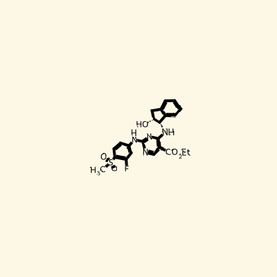 CCOC(=O)c1cnc(Nc2ccc(S(C)(=O)=O)c(F)c2)nc1N[C@H]1c2ccccc2C[C@H]1O